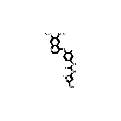 COc1cc2nccc(Oc3ccc(NC(=O)Nc4cc(C(C)(C)C)n[nH]4)cc3F)c2cc1NC(C)=O